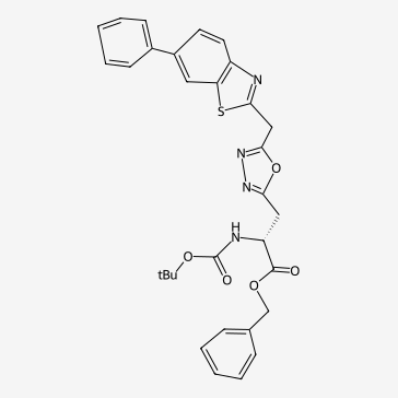 CC(C)(C)OC(=O)N[C@H](Cc1nnc(Cc2nc3ccc(-c4ccccc4)cc3s2)o1)C(=O)OCc1ccccc1